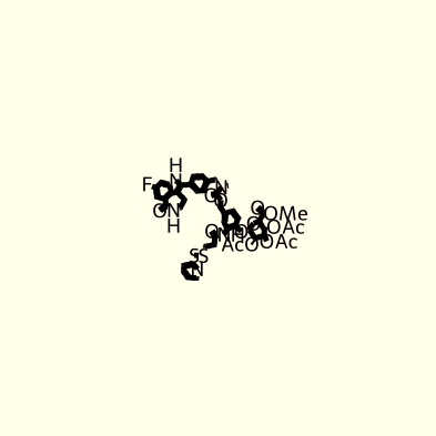 COC(=O)C1OC(Oc2ccc(COC(=O)N(C)Cc3ccc(-c4[nH]c5cc(F)cc6c5c4CCNC6=O)cc3)cc2NC(=O)CCSSc2ccccn2)[C@H](OC(C)=O)C(OC(C)=O)[C@@H]1OC(C)=O